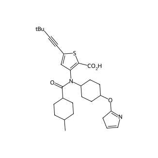 CC1CCC(C(=O)N(c2cc(C#CC(C)(C)C)sc2C(=O)O)C2CCC(OC3=NC=CC3)CC2)CC1